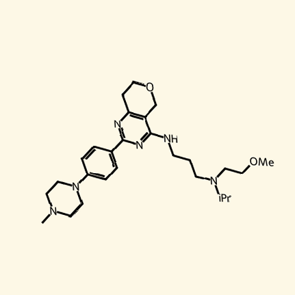 COCCN(CCCNc1nc(-c2ccc(N3CCN(C)CC3)cc2)nc2c1COCC2)C(C)C